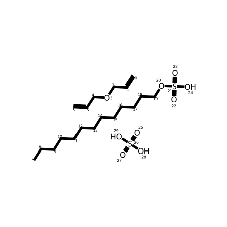 C=CCOCC=C.CCCCCCCCCCCCCOS(=O)(=O)O.O=S(=O)(O)O